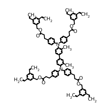 C=Cc1cc(C=C)cc(COC(=O)CCc2ccc(N(c3ccc(CCC(=O)OCc4cc(C=C)cc(C=C)c4)cc3)c3ccc(-c4ccc(N(c5ccc(CCC(=O)OCc6cc(C=C)cc(C=C)c6)cc5)c5ccc(CCC(=O)OCc6cc(C=C)cc(C=C)c6)cc5)c(C)c4)cc3C)cc2)c1